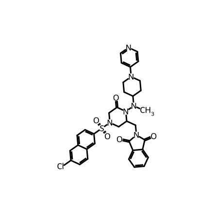 CN(C1CCN(c2ccncc2)CC1)N1C(=O)CN(S(=O)(=O)c2ccc3cc(Cl)ccc3c2)CC1CN1C(=O)c2ccccc2C1=O